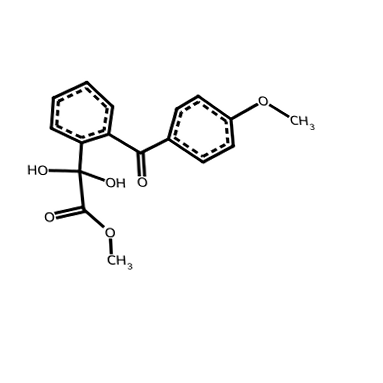 COC(=O)C(O)(O)c1ccccc1C(=O)c1ccc(OC)cc1